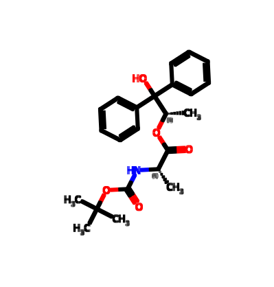 C[C@H](NC(=O)OC(C)(C)C)C(=O)O[C@@H](C)C(O)(c1ccccc1)c1ccccc1